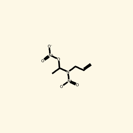 C=CCN(C(C)O[N+](=O)[O-])[N+](=O)[O-]